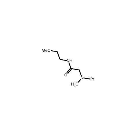 COCCNC(=O)CN(C)C(C)C